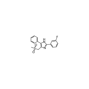 CS(=O)(=O)Cc1nc(-c2cccc(F)c2)[nH]c1-c1ccccc1